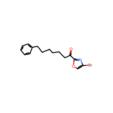 O=C(CCCCCCc1ccccc1)c1nc(Br)co1